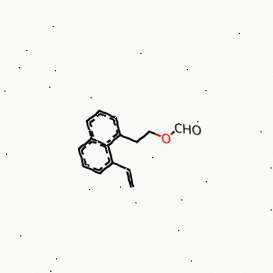 C=Cc1cccc2cccc(CCOC=O)c12